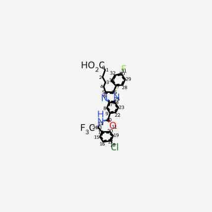 O=C(O)CCCCc1nc2cc(C(=O)N[C@H](c3ccc(Cl)cc3)C(F)(F)F)ccc2nc1-c1ccc(F)cc1